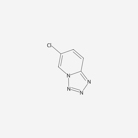 Clc1ccc2nnnn2c1